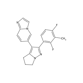 Cc1c(F)ccc(-c2nn3c(c2-c2ccc4nccn4c2)CCC3)c1F